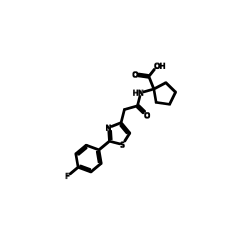 O=C(Cc1csc(-c2ccc(F)cc2)n1)NC1(C(=O)O)CCCC1